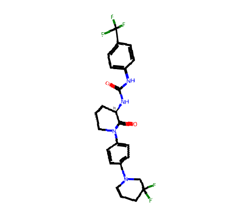 O=C(Nc1ccc(C(F)(F)F)cc1)N[C@@H]1CCCN(c2ccc(N3CCCC(F)(F)C3)cc2)C1=O